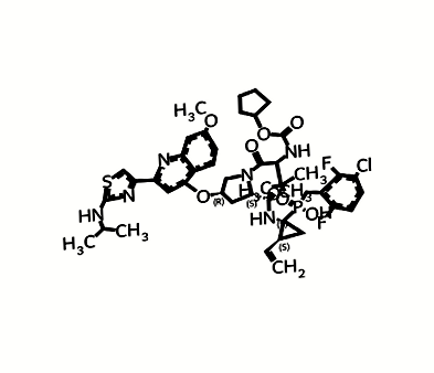 C=C[C@@H]1C[C@]1(NC(=O)[C@@H]1C[C@@H](Oc2cc(-c3csc(NC(C)C)n3)nc3cc(OC)ccc23)CN1C(=O)C(NC(=O)OC1CCCC1)C(C)(C)C)P(=O)(O)Cc1c(F)ccc(Cl)c1F